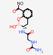 NC(=O)NCC(=O)N[C@H]1Cc2cccc(C(=O)N=O)c2OB1O